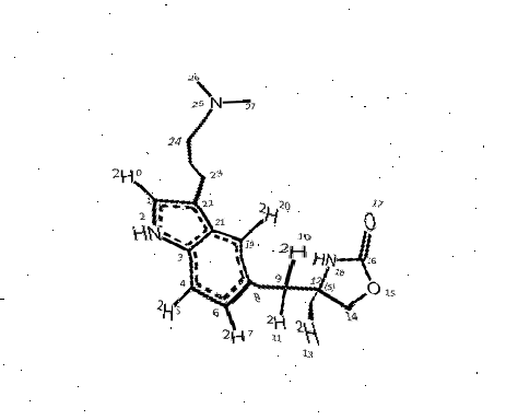 [2H]c1[nH]c2c([2H])c([2H])c(C([2H])([2H])[C@@]3([2H])COC(=O)N3)c([2H])c2c1CCN(C)C